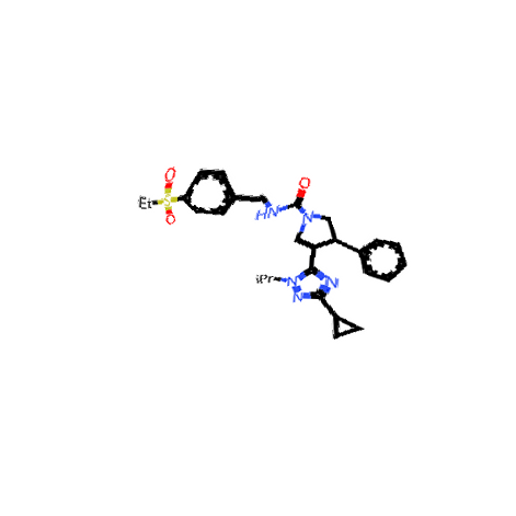 CCS(=O)(=O)c1ccc(CNC(=O)N2CC(c3ccccc3)C(c3nc(C4CC4)nn3C(C)C)C2)cc1